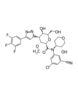 CO[C@@H]1[C@@H](n2cc(-c3cc(F)c(F)c(F)c3)nn2)[C@@H](O)[C@@H](CO)O[C@H]1C(=O)N(c1cc(Cl)cc(C#N)c1)[C@H]1CCOC[C@@H]1O